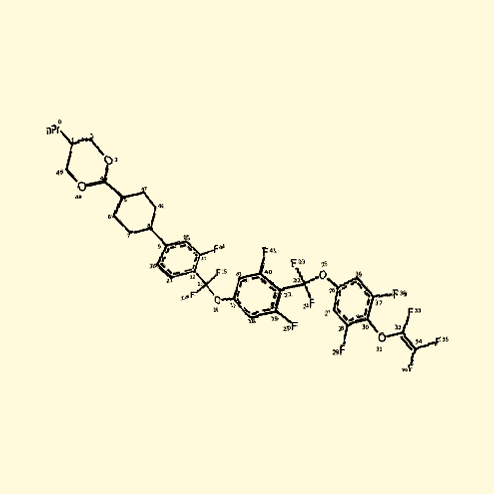 CCCC1COC(C2CCC(c3ccc(C(F)(F)Oc4cc(F)c(C(F)(F)Oc5cc(F)c(OC(F)=C(F)F)c(F)c5)c(F)c4)c(F)c3)CC2)OC1